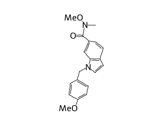 COc1ccc(Cn2ccc3ccc(C(=O)N(C)OC)cc32)cc1